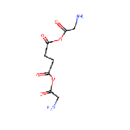 NCC(=O)OC(=O)CCC(=O)OC(=O)CN